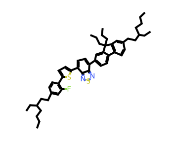 CCCCC(CC)CCc1ccc(-c2ccc(-c3ccc(-c4ccc5c(c4)C(CCC)(CCC)c4cc(CCC(CC)CCCC)ccc4-5)c4nsnc34)s2)c(F)c1